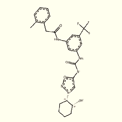 Cc1ccccc1CC(=O)Nc1cc(NC(=O)[N-]c2c[n+]([C@H]3CCCC[C@H]3O)no2)cc(C(F)(F)F)c1